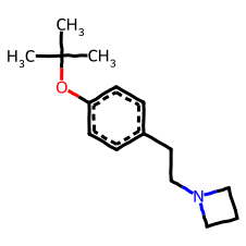 CC(C)(C)Oc1ccc(CCN2CCC2)cc1